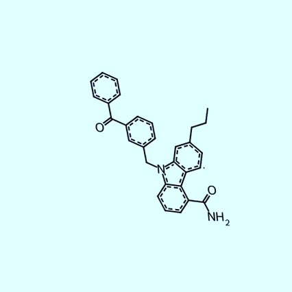 CCCc1c[c]c2c3c(C(N)=O)cccc3n(Cc3cccc(C(=O)c4ccccc4)c3)c2c1